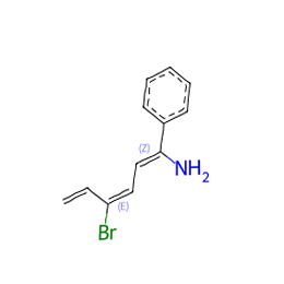 C=C/C(Br)=C\C=C(/N)c1ccccc1